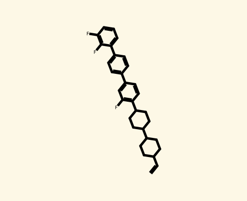 C=CC1CCC(C2CCC(c3ccc(-c4ccc(-c5cccc(F)c5F)cc4)cc3F)CC2)CC1